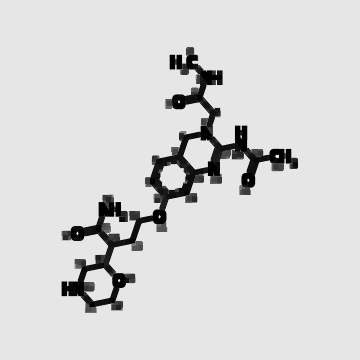 CNC(=O)CN1Cc2ccc(OCCC(C(N)=O)C3CNCCO3)cc2N=C1NC(C)=O